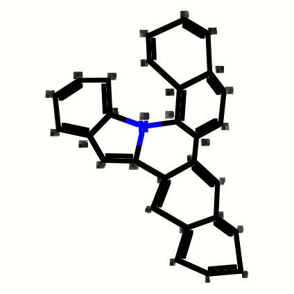 c1ccc2cc3c(cc2c1)c1ccc2ccccc2c1n1c2ccccc2cc31